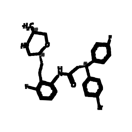 [CH2][C@H]1CO[C@H](CCc2c(F)cccc2NC(=O)C[C@H](c2ccc(F)cc2)c2ccc(Br)cc2)CN1